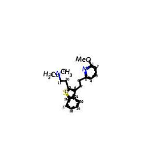 COc1cccc(CCc2c(CCN(C)C)sc3ccccc23)n1